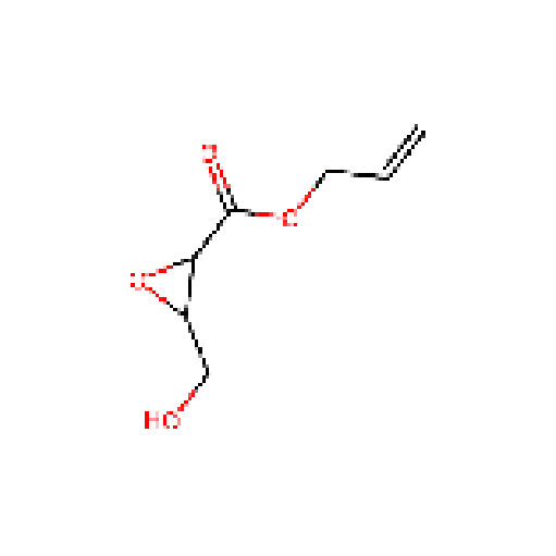 C=CCOC(=O)C1OC1CO